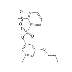 CCCOc1cc(C)cc(OS(=O)(=O)c2ccccc2S(C)(=O)=O)c1